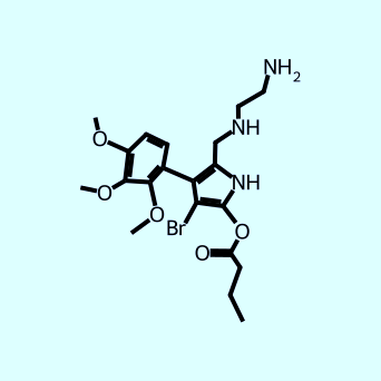 CCCC(=O)Oc1[nH]c(CNCCN)c(-c2ccc(OC)c(OC)c2OC)c1Br